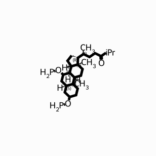 CC(C)C(=O)CC[C@@H](C)[C@H]1CC[C@H]2[C@@H]3C(OP)C[C@@H]4CC(OP)CC[C@]4(C)[C@H]3CC[C@]12C